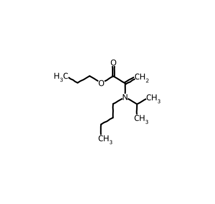 C=C(C(=O)OCCC)N(CCCC)C(C)C